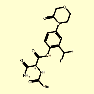 CC(C)(C)C(=O)N[C@@H](C(N)=O)C(=O)Nc1ccc(N2CCOCC2=O)cc1C(F)F